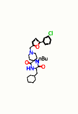 CCCCN1C(=O)C(CC2CCCCC2)NC(=O)C12CCN(Cc1ccc(-c3cccc(Cl)c3)o1)CC2